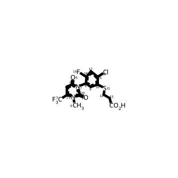 Cn1c(C(F)(F)F)cc(=O)n(-c2cc(SCCC(=O)O)c(Cl)cc2F)c1=O